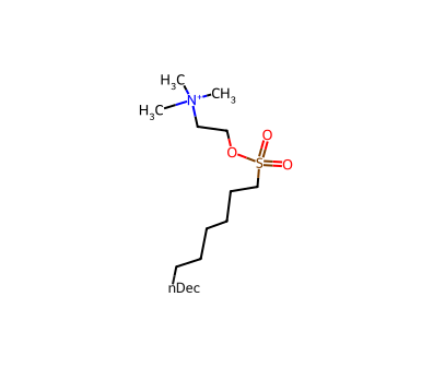 CCCCCCCCCCCCCCCCS(=O)(=O)OCC[N+](C)(C)C